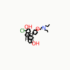 CCCN(CCC)CCOc1ccc([C@H]2C[C@]3(C)[C@@H](O)CC[C@H]3[C@@H]3CCc4c(ccc(O)c4Cl)[C@H]32)cc1